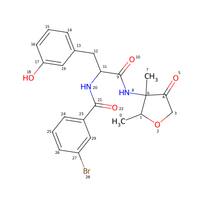 CC1OCC(=O)C1(C)NC(=O)C(Cc1cccc(O)c1)NC(=O)c1cccc(Br)c1